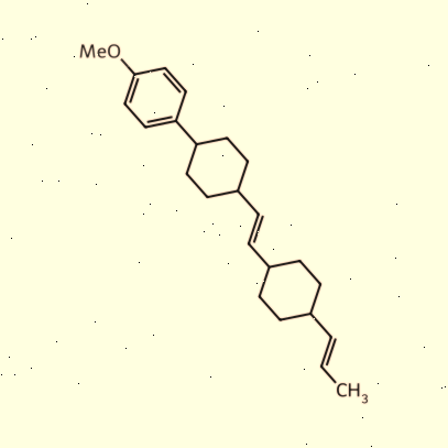 CC=CC1CCC(C=CC2CCC(c3ccc(OC)cc3)CC2)CC1